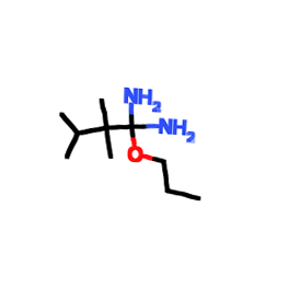 CCCOC(N)(N)C(C)(C)C(C)C